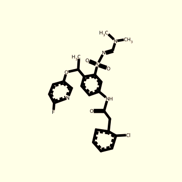 CC(Oc1ccc(F)nc1)c1ccc(NC(=O)Cc2ccccc2Cl)cc1S(=O)(=O)/N=C/N(C)C